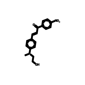 CN(CCO)c1ccc(/C=C/C(=O)c2ccc([N+](=O)[O-])cc2)cc1